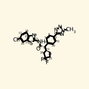 Cn1nnc(-c2ccc([C@@H](C(=O)Nc3nc4ccc(Cl)cc4s3)[C@H]3CCC(F)(F)C3)cc2)n1